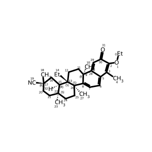 CCOC1=C(C)C2=CC=C3[C@@](C)(CC[C@@]4(CC)[C@@H]5C[C@](C)(C#N)CC[C@]5(C)CC[C@]34C)C2=CC1=O